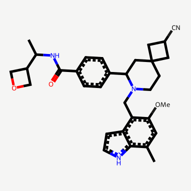 COc1cc(C)c2[nH]ccc2c1CN1CCC2(CC(C#N)C2)CC1c1ccc(C(=O)NC(C)C2COC2)cc1